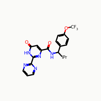 CC(C)C(NC(=O)c1cc(=O)[nH]c(-c2ncccn2)n1)c1ccc(OC(F)(F)F)cc1